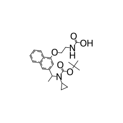 CC(c1cc(OCCNC(=O)O)c2ccccc2c1)N(C(=O)OC(C)(C)C)C1CC1